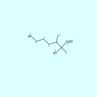 CCC(C)(C=O)C(C)CCCC(C)C